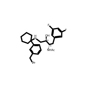 CC(=O)N[C@@H](Cc1cc(F)cc(F)c1)[C@H](O)CNC1(c2cccc(CC(C)C)c2)CCCCC1